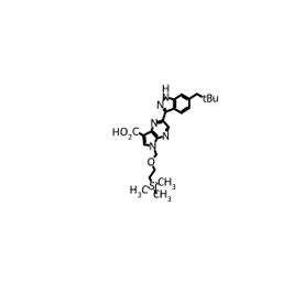 CC(C)(C)Cc1ccc2c(-c3cnc4c(n3)c(C(=O)O)cn4COCC[Si](C)(C)C)n[nH]c2c1